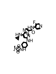 CN(C)S(=O)(=O)NC1CCC(Nc2cc(NC3CC3)c3ncc(C(=O)Nc4ccncc4F)n3n2)CC1